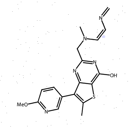 C=N/C=C\N(C)Cc1nc(O)c2sc(C)c(-c3ccc(OC)nc3)c2n1